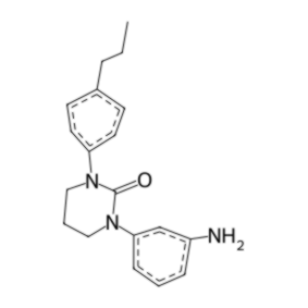 CCCc1ccc(N2CCCN(c3cccc(N)c3)C2=O)cc1